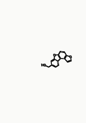 OCc1ccc2c(c1)oc1ccc3occc3c12